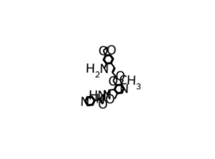 Cc1ncc(CO)c(/C=N/NC(=O)c2ccncc2)c1OC(=O)/C=C/c1cc2c(cc1N)OCO2